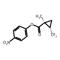 C[C@]1(C(=O)Oc2ccc([N+](=O)[O-])cc2)C[C@@H]1C(F)(F)F